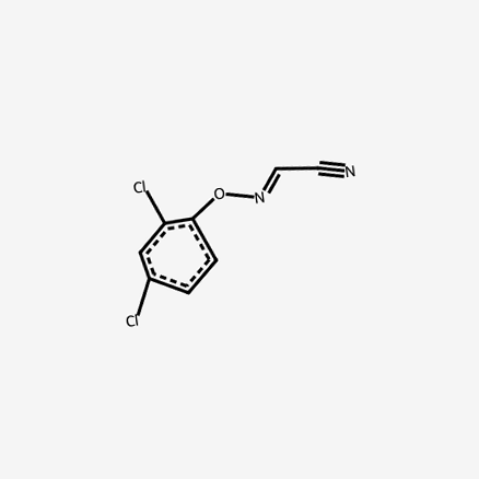 N#CC=NOc1ccc(Cl)cc1Cl